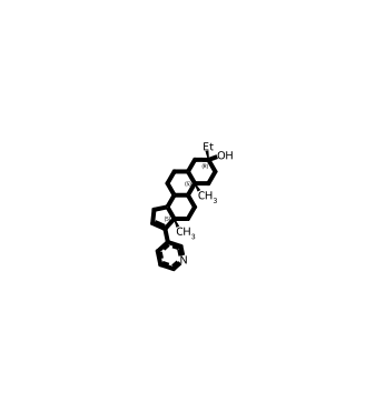 CC[C@@]1(O)CC[C@@]2(C)C(CCC3C2CC[C@]2(C)C(c4cccnc4)=CCC32)C1